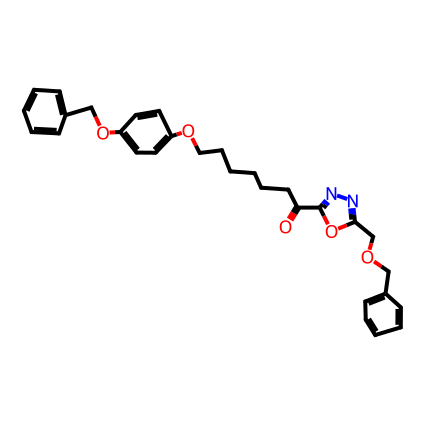 O=C(CCCCCCOc1ccc(OCc2ccccc2)cc1)c1nnc(COCc2ccccc2)o1